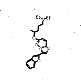 CCN(CC)CCCC(C)Oc1ccc2ncc(-c3cc4ccccc4o3)n2n1